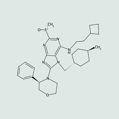 C[S@@+]([O-])c1nc(NCCC2CCC2)c2c(n1)nc(N1CCOC[C@H]1c1ccccc1)n2C[C@H]1CC[C@H](C)CC1